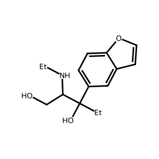 CCNC(CO)C(O)(CC)c1ccc2occc2c1